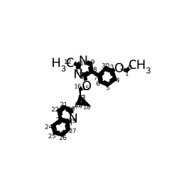 CCOc1cccc(-c2cnc(C)nc2OC[C@H]2C[C@@H]2c2ccc3ccccc3n2)c1